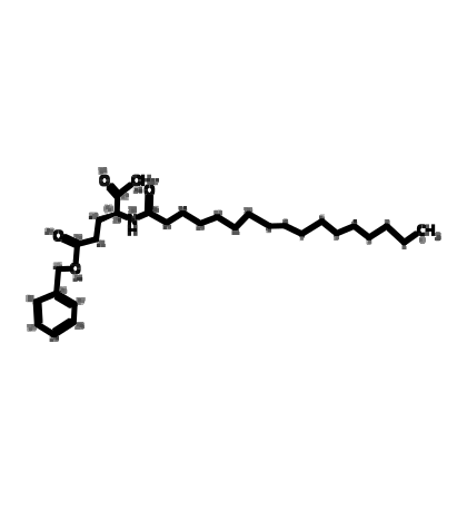 CCCCCCCCCCCCCCCCC(=O)N[C@@H](CCC(=O)OCc1ccccc1)C(=O)O